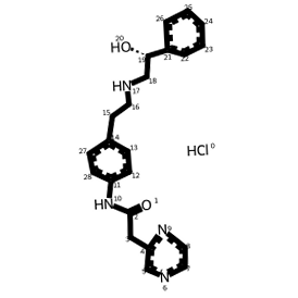 Cl.O=C(Cc1cnccn1)Nc1ccc(CCNC[C@H](O)c2ccccc2)cc1